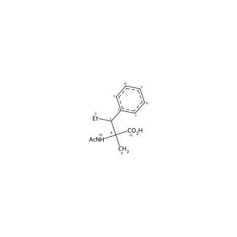 CCC(c1ccccc1)C(C)(NC(C)=O)C(=O)O